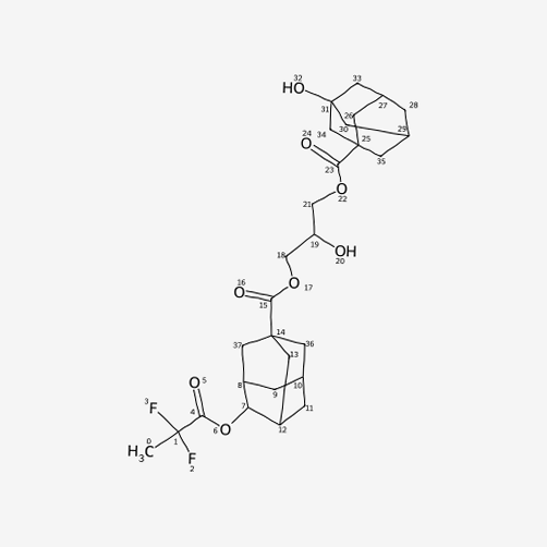 CC(F)(F)C(=O)OC1C2CC3CC1CC(C(=O)OCC(O)COC(=O)C14CC5CC(CC(O)(C5)C1)C4)(C3)C2